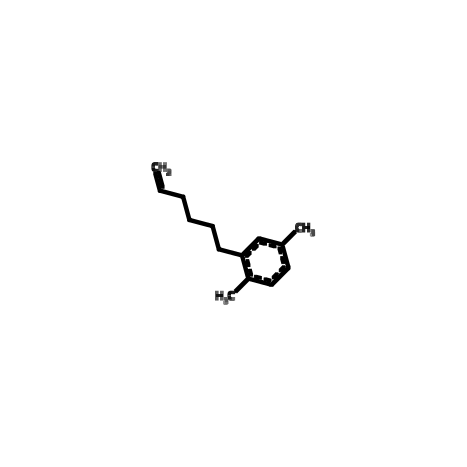 C=CCCCCc1cc(C)ccc1C